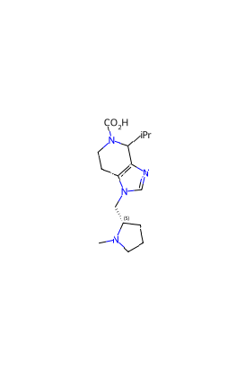 CC(C)C1c2ncn(C[C@@H]3CCCN3C)c2CCN1C(=O)O